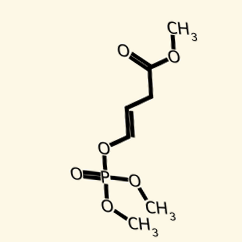 COC(=O)CC=COP(=O)(OC)OC